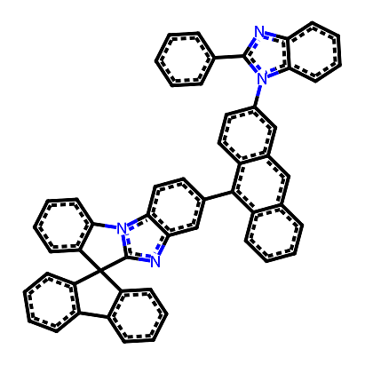 c1ccc(-c2nc3ccccc3n2-c2ccc3c(-c4ccc5c(c4)nc4n5-c5ccccc5C45c4ccccc4-c4ccccc45)c4ccccc4cc3c2)cc1